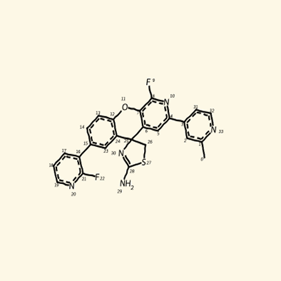 Cc1cc(-c2cc3c(c(F)n2)Oc2ccc(-c4cccnc4F)cc2C32CSC(N)=N2)ccn1